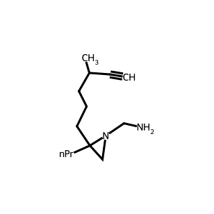 C#CC(C)CCCC1(CCC)CN1CN